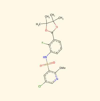 COc1ncc(Cl)cc1S(=O)(=O)Nc1cccc(B2OC(C)(C)C(C)(C)O2)c1F